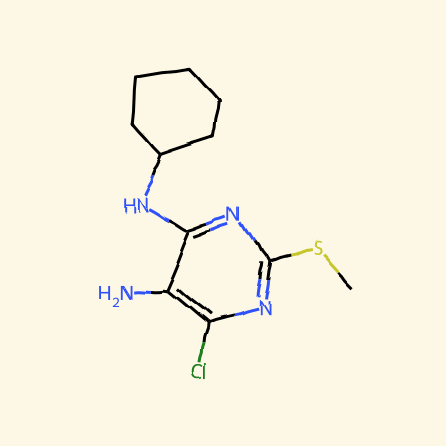 CSc1nc(Cl)c(N)c(NC2CCCCC2)n1